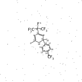 CC1=CC(C(F)(C(F)(F)F)C(F)(F)F)=CC(C)(c2ccc(C(F)(F)F)cc2)[CH]1